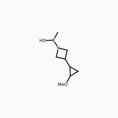 COC1CC1C1CN(B(C)O)C1